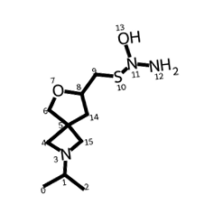 CC(C)N1CC2(COC(CSN(N)O)C2)C1